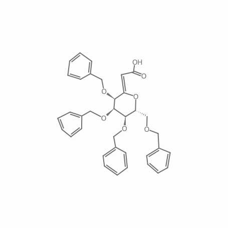 O=C(O)C=C1O[C@H](COCc2ccccc2)[C@@H](OCc2ccccc2)[C@@H](OCc2ccccc2)[C@H]1OCc1ccccc1